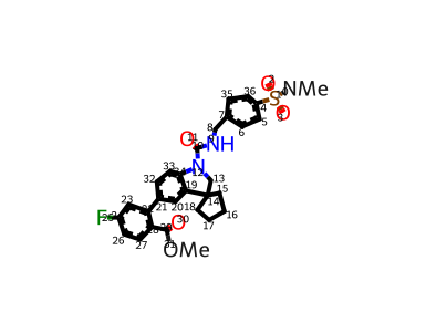 CNS(=O)(=O)c1ccc(CNC(=O)N2CC3(CCCC3)c3cc(-c4cc(F)ccc4C(=O)OC)ccc32)cc1